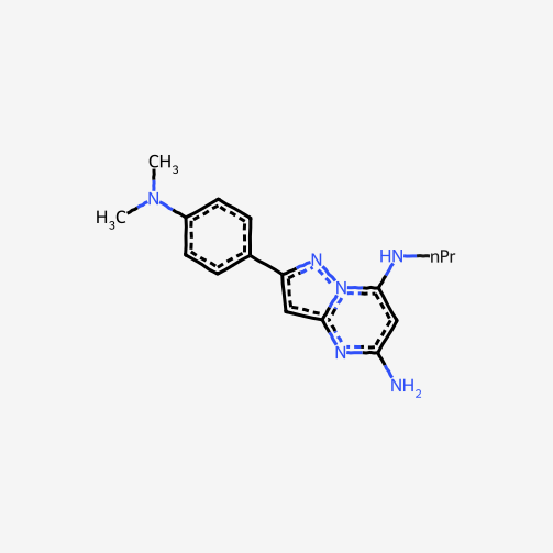 CCCNc1cc(N)nc2cc(-c3ccc(N(C)C)cc3)nn12